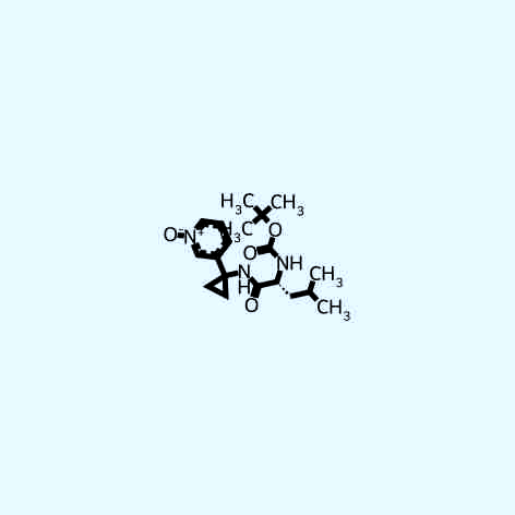 CC(C)C[C@@H](NC(=O)OC(C)(C)C)C(=O)NC1(c2ccc[n+]([O-])c2)CC1